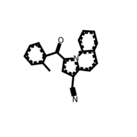 Cc1ccccc1C(=O)c1cc(C#N)c2ccc3ccccc3n12